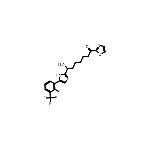 NC(CCCCCC(=O)c1ncco1)c1ncc(-c2cccc(C(F)(F)F)c2F)[nH]1